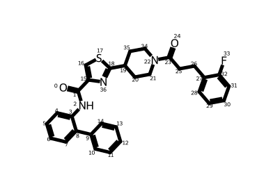 O=C(Nc1ccccc1-c1ccccc1)c1csc(C2CCN(C(=O)CCc3ccccc3F)CC2)n1